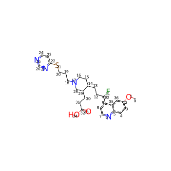 COc1ccc2nccc([C@@H](F)CCC3CCN(CCCSc4ccncn4)CC3CCC(=O)O)c2c1